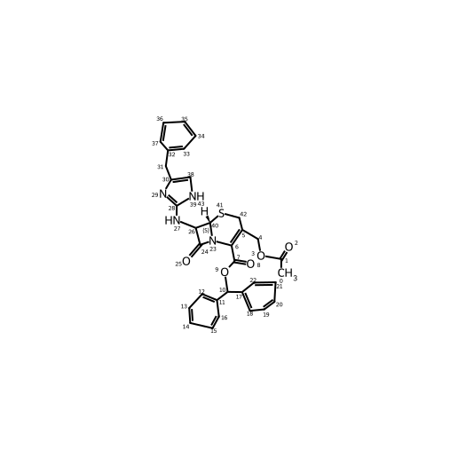 CC(=O)OCC1=C(C(=O)OC(c2ccccc2)c2ccccc2)N2C(=O)C(Nc3nc(Cc4ccccc4)c[nH]3)[C@@H]2SC1